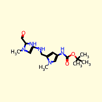 CN1C=C(NCc2cc(NC(=O)OC(C)(C)C)cn2C)NC1C=O